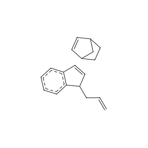 C1=CC2CCC1C2.C=CCC1C=Cc2ccccc21